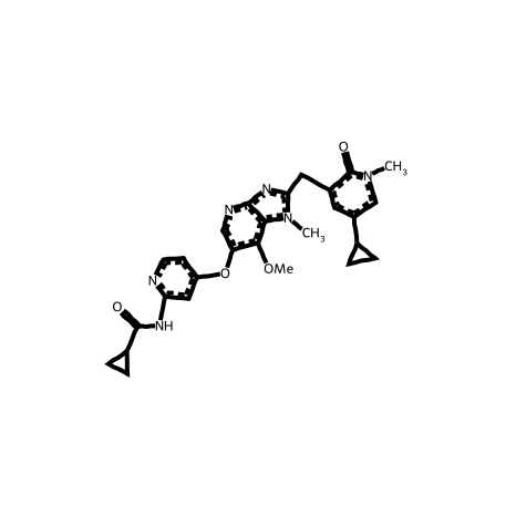 COc1c(Oc2ccnc(NC(=O)C3CC3)c2)cnc2nc(Cc3cc(C4CC4)cn(C)c3=O)n(C)c12